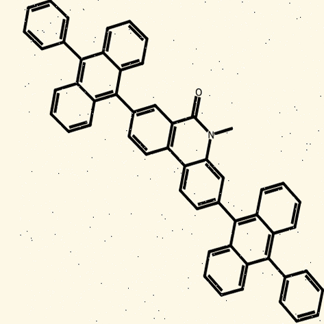 Cn1c(=O)c2cc(-c3c4ccccc4c(-c4ccccc4)c4ccccc34)ccc2c2ccc(-c3c4ccccc4c(-c4ccccc4)c4ccccc34)cc21